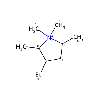 CCC1CC(C)[N+](C)(C)C1C